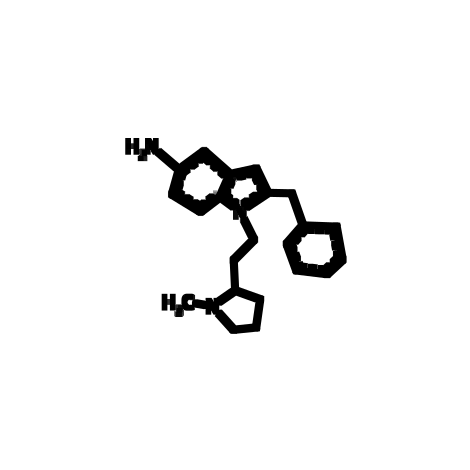 CN1CCCC1CCn1c(Cc2ccccc2)cc2cc(N)ccc21